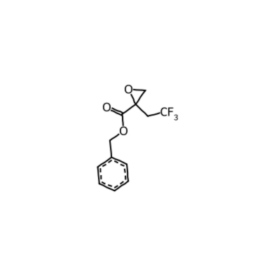 O=C(OCc1ccccc1)C1(CC(F)(F)F)CO1